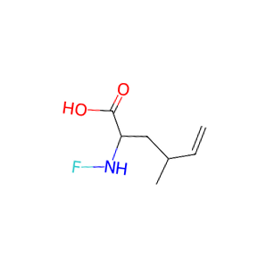 C=CC(C)CC(NF)C(=O)O